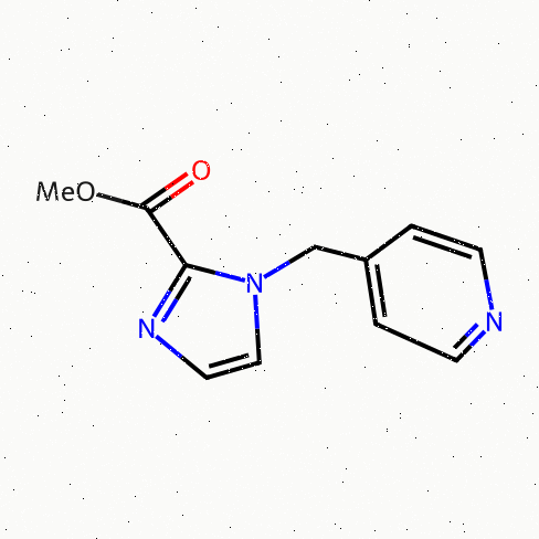 COC(=O)c1nccn1Cc1ccncc1